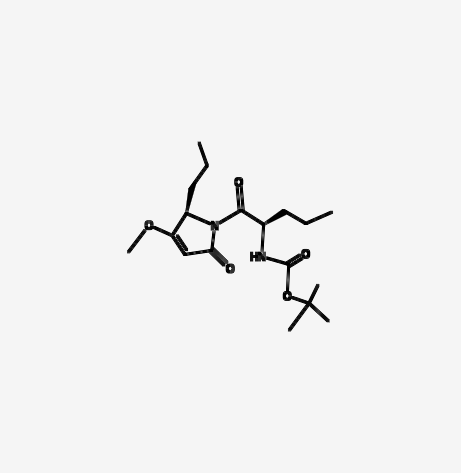 CCC[C@@H]1C(OC)=CC(=O)N1C(=O)[C@@H](CCC)NC(=O)OC(C)(C)C